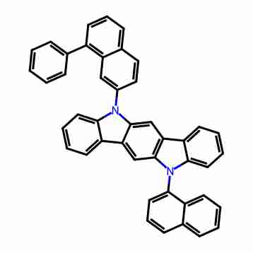 c1ccc(-c2cccc3ccc(-n4c5ccccc5c5cc6c(cc54)c4ccccc4n6-c4cccc5ccccc45)cc23)cc1